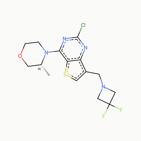 C[C@@H]1COCCN1c1nc(Cl)nc2c(CN3CC(F)(F)C3)csc12